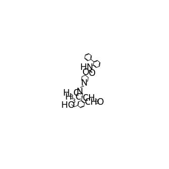 CN(CCN1CCC(OC(=O)Nc2ccccc2-c2ccccc2)CC1)CC(C)(C)c1cc(CO)ccc1C=O